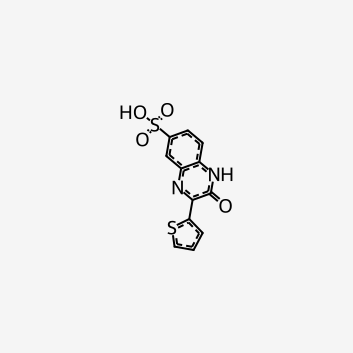 O=c1[nH]c2ccc(S(=O)(=O)O)cc2nc1-c1cccs1